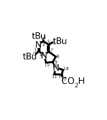 CC(C)(C)C1=NC(C(C)(C)C)C(C(C)(C)C)=C2CC(N3CC(C(=O)O)C3)CN12